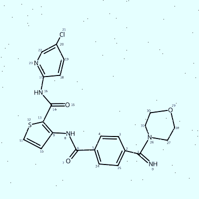 N=C(c1ccc(C(=O)Nc2ccsc2C(=O)Nc2ccc(Cl)cn2)cc1)N1CCOCC1